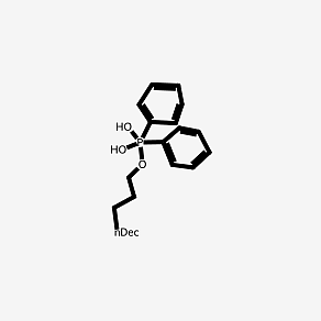 CCCCCCCCCCCCCOP(O)(O)(c1ccccc1)c1ccccc1